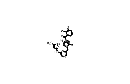 Cc1cc(Nc2cncc(CN3C[C@H]4C[C@@H]3CN4C(=O)c3cccc(Cl)c3Cl)n2)n[nH]1